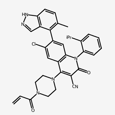 C=CC(=O)N1CCN(c2c(C#N)c(=O)n(-c3ccccc3C(C)C)c3cc(-c4c(C)ccc5[nH]ncc45)c(Cl)cc23)CC1